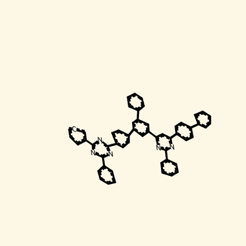 c1ccc(-c2ccc(-c3cc(-c4cc(-c5ccccc5)cc(-c5ccc(-c6nc(-c7ccccc7)nc(-c7ccccc7)n6)cc5)c4)nc(-c4ccccc4)n3)cc2)cc1